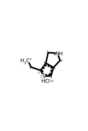 CCc1scc2c1CNC2.Cl